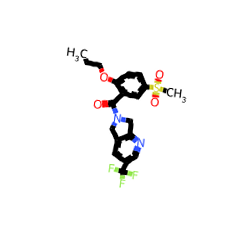 CCCOc1ccc(S(C)(=O)=O)cc1C(=O)N1Cc2cc(C(F)(F)F)cnc2C1